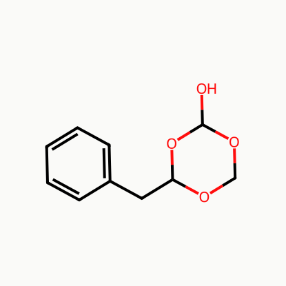 OC1OCOC(Cc2ccccc2)O1